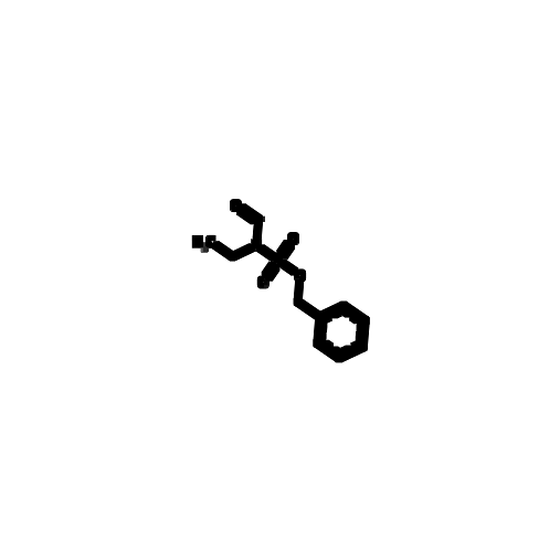 CCN([C]=O)S(=O)(=O)OCc1ccccc1